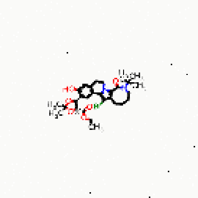 CCOC(=O)[C@@H]1OC(C)(C)O[C@H]1c1cc2c(cc1O)CCn1c3c(c(Br)c1-2)CCCCN(C(C)(C)C)C3=O